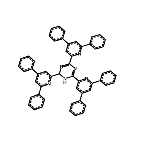 c1ccc(-c2cc(C3=NC(c4cc(-c5ccccc5)cc(-c5ccccc5)n4)NC(c4cc(-c5ccccc5)cc(-c5ccccc5)n4)=N3)nc(-c3ccccc3)c2)cc1